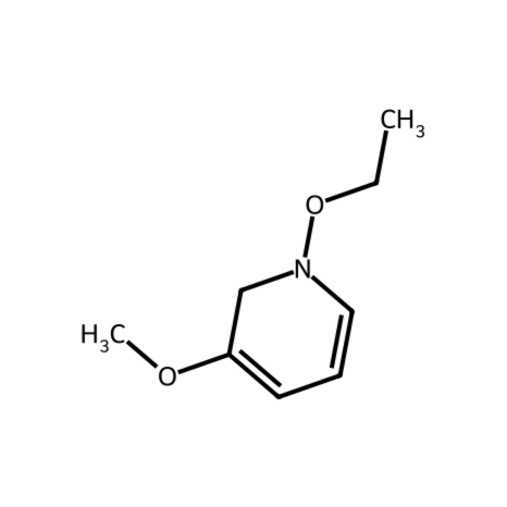 CCON1C=CC=C(OC)C1